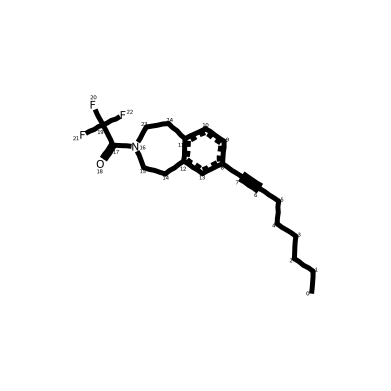 CCCCCCC#Cc1ccc2c(c1)CCN(C(=O)C(F)(F)F)CC2